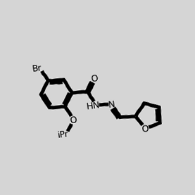 CC(C)Oc1ccc(Br)cc1C(=O)N/N=C/C1CC=CO1